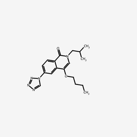 CCCCOc1[c]n(CC(C)C)c(=O)c2ccc(-n3cnnn3)cc12